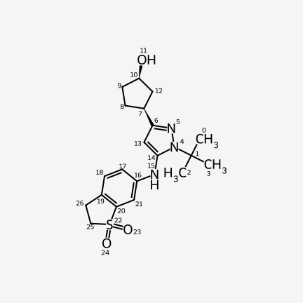 CC(C)(C)n1nc([C@H]2CC[C@@H](O)C2)cc1Nc1ccc2c(c1)S(=O)(=O)CC2